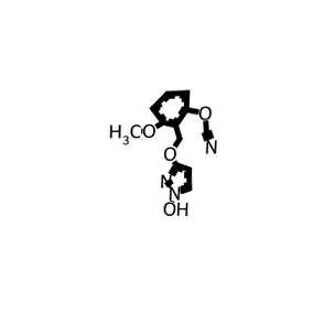 COc1cccc(OC#N)c1COc1ccn(O)n1